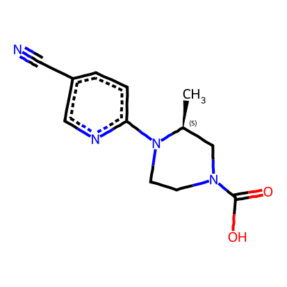 C[C@H]1CN(C(=O)O)CCN1c1ccc(C#N)cn1